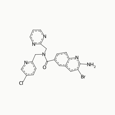 Nc1nc2ccc(C(=O)N(Cc3ccc(Cl)cn3)Cc3ncccn3)cc2cc1Br